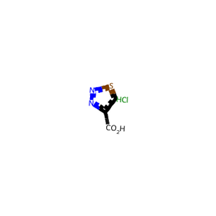 Cl.O=C(O)c1csnn1